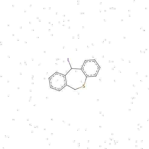 IC1c2ccccc2CSc2ccccc21